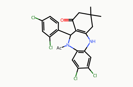 CC(=O)N1c2cc(Cl)c(Cl)cc2NC2=C(C(=O)CC(C)(C)C2)C1c1ccc(Cl)cc1Cl